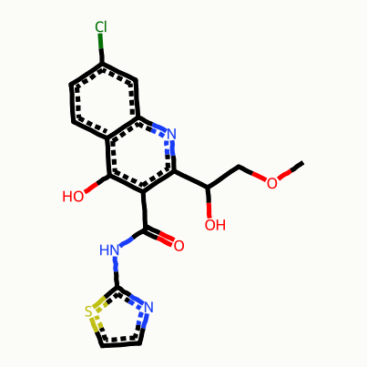 COCC(O)c1nc2cc(Cl)ccc2c(O)c1C(=O)Nc1nccs1